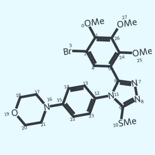 COc1c(Br)cc(-c2nnc(SC)n2-c2ccc(N3CCOCC3)cc2)c(OC)c1OC